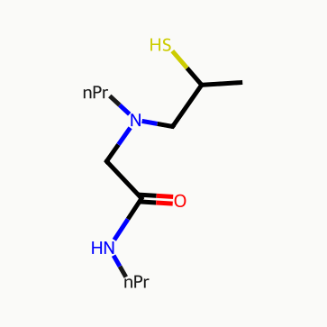 CCCNC(=O)CN(CCC)CC(C)S